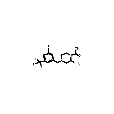 CC1CN(Cc2cc(F)cc(C(F)(F)F)c2)CCN1C(=O)O